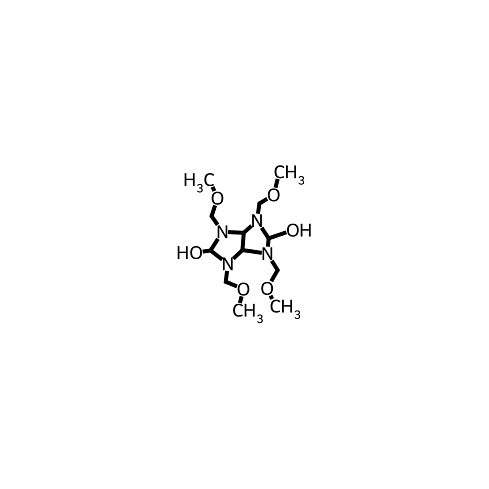 COCN1C(O)N(COC)C2C1N(COC)C(O)N2COC